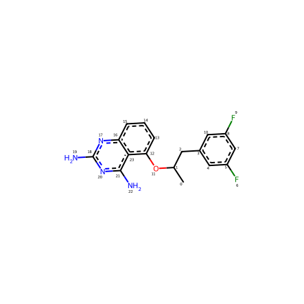 CC(Cc1cc(F)cc(F)c1)Oc1cccc2nc(N)nc(N)c12